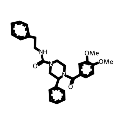 COc1ccc(C(=O)N2CCN(C(=O)NCCc3ccccc3)CC2c2ccccc2)cc1OC